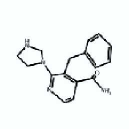 NC(=O)c1ccnc(N2CCNC2)c1Cc1ccccc1